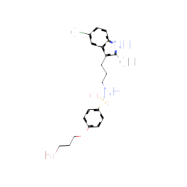 Cc1[nH]c2ccc(Cl)cc2c1CCCNS(=O)(=O)c1ccc(OCCCBr)cc1